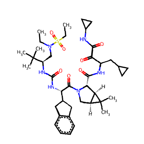 CCN(C[C@@H](NC(=O)N[C@H](C(=O)N1C[C@H]2[C@@H]([C@H]1C(=O)NC(CC1CC1)C(=O)C(=O)NC1CC1)C2(C)C)C1Cc2ccccc2C1)C(C)(C)C)S(=O)(=O)CC